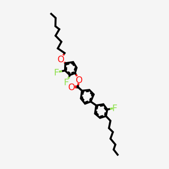 CCCCCCCCOc1ccc(OC(=O)c2ccc(-c3ccc(CCCCCCC)c(F)c3)cc2)c(F)c1F